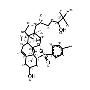 Cc1ccc(S(=O)(=O)[C@H]2CC(O)CC3=CC[C@H]4[C@@H]5CC[C@H]([C@H](C)CCC(O)C(C)(C)F)[C@@]5(C)CC[C@@H]4[C@]32C)cc1